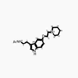 CC(=O)NCCc1c[nH]c2ccc(OCCN3CCCCC3)cc12